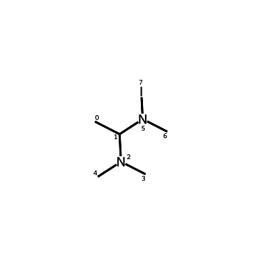 CC(N(C)C)N(C)I